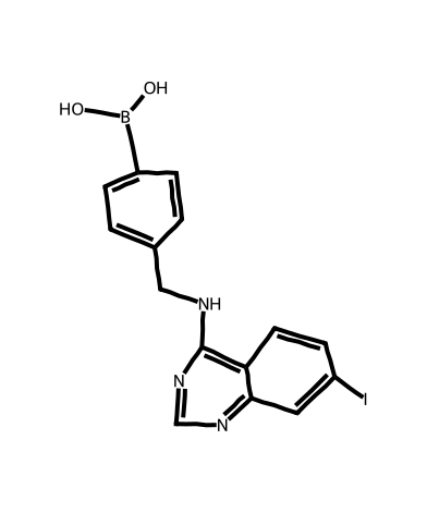 OB(O)c1ccc(CNc2ncnc3cc(I)ccc23)cc1